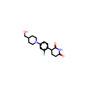 O=C1CCC(c2ccc(N3CCC(CO)CC3)cc2F)C(=O)N1